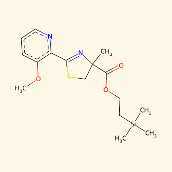 COc1cccnc1C1=NC(C)(C(=O)OCC[Si](C)(C)C)CS1